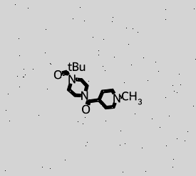 CN1CCC(C(=O)N2CCN(C(=O)C(C)(C)C)CC2)CC1